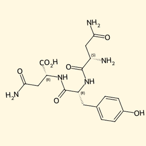 NC(=O)C[C@H](N)C(=O)N[C@H](Cc1ccc(O)cc1)C(=O)N[C@H](CC(N)=O)C(=O)O